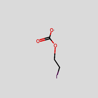 [O]C(=O)OCCI